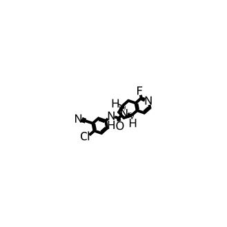 N#Cc1cc(NC(=O)N2[C@H]3CC[C@@H]2c2ccnc(F)c2C3)ccc1Cl